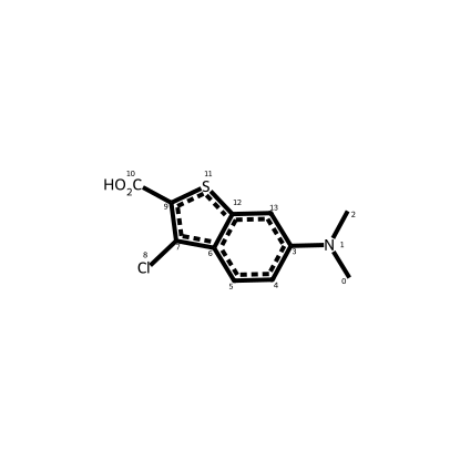 CN(C)c1ccc2c(Cl)c(C(=O)O)sc2c1